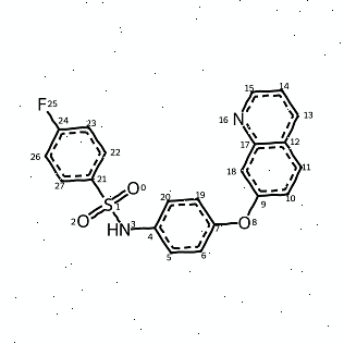 O=S(=O)(Nc1ccc(Oc2ccc3cccnc3c2)cc1)c1ccc(F)cc1